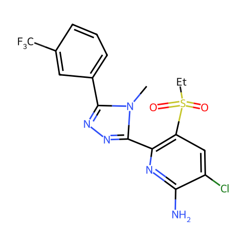 CCS(=O)(=O)c1cc(Cl)c(N)nc1-c1nnc(-c2cccc(C(F)(F)F)c2)n1C